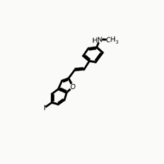 CNc1ccc(C=Cc2cc3cc(I)ccc3o2)cc1